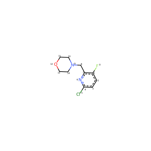 Fc1ccc(Cl)nc1CN1CCOCC1